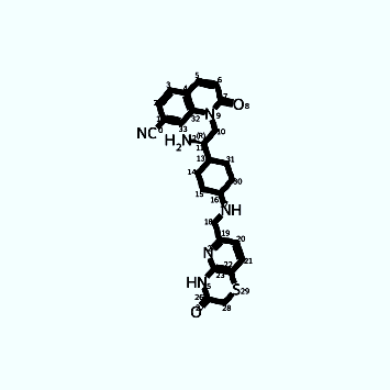 N#Cc1ccc2ccc(=O)n(C[C@H](N)C3CCC(NCc4ccc5c(n4)NC(=O)CS5)CC3)c2c1